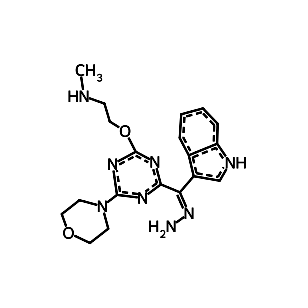 CNCCOc1nc(/C(=N\N)c2c[nH]c3ccccc23)nc(N2CCOCC2)n1